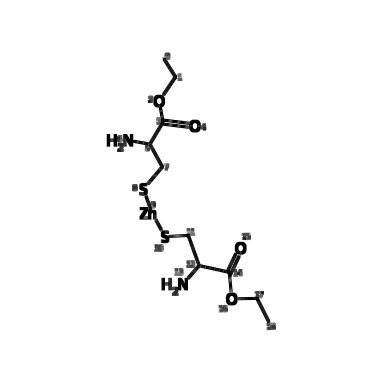 CCOC(=O)C(N)C[S][Zn][S]CC(N)C(=O)OCC